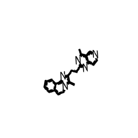 Cc1nc(CCc2nc3c4ccccc4ccn3c2C)nc2ccncc12